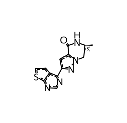 C[C@H]1Cn2nc(-c3ncnc4sccc34)cc2C(=O)N1